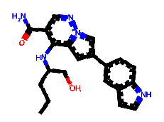 CCCC(CO)Nc1c(C(N)=O)cnn2cc(-c3ccc4[nH]ccc4c3)cc12